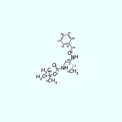 CC[C@H](CNC(=O)OC(C)(C)C)NOCc1ccccc1